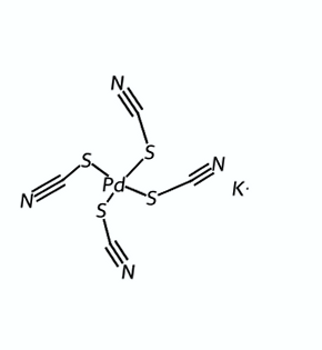 N#C[S][Pd]([S]C#N)([S]C#N)[S]C#N.[K]